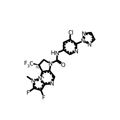 Cn1c(F)c(F)c2ncc3c([n+]21)[C@@H](C(F)(F)F)CN3C(=O)Nc1cnc(-n2nccn2)c(Cl)c1